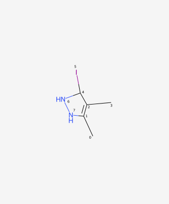 CC1=C(C)C(I)NN1